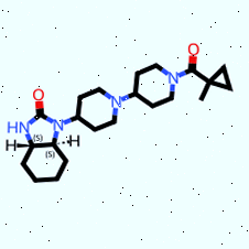 CC1(C(=O)N2CCC(N3CCC(N4C(=O)N[C@H]5CCCC[C@@H]54)CC3)CC2)CC1